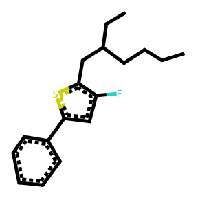 CCCCC(CC)Cc1sc(-c2ccccc2)cc1F